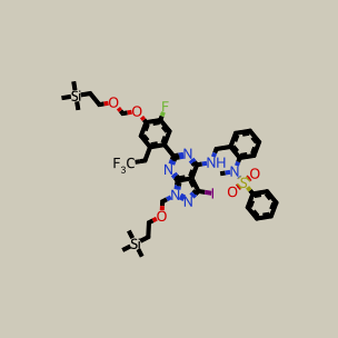 CN(c1ccccc1CNc1nc(-c2cc(F)c(OCOCC[Si](C)(C)C)cc2CC(F)(F)F)nc2c1c(I)nn2COCC[Si](C)(C)C)S(=O)(=O)c1ccccc1